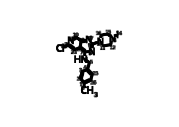 Cc1ccc(CNc2nc(N3CCN(I)CC3)nc3cnc(Cl)cc23)cc1